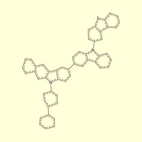 c1ccc(-c2ccc(-n3c4ccc(-c5ccc6c(c5)c5ccccc5n6-c5ccc6sc7ccccc7c6c5)cc4c4cc5ccccc5cc43)cc2)cc1